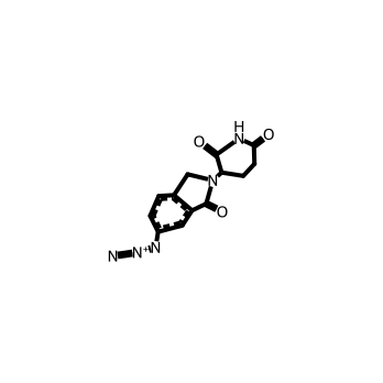 [N-]=[N+]=Nc1ccc2c(c1)C(=O)N(C1CCC(=O)NC1=O)C2